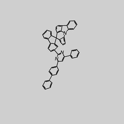 c1ccc(-c2ccc(-c3cc(-c4ccccc4)nc(-c4ccc5c(c4)C4(c6ccccc6-5)c5ccccc5-n5c6ccccc6c6cccc4c65)n3)cc2)cc1